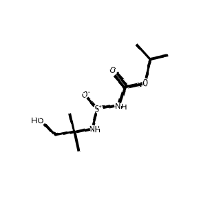 CC(C)OC(=O)N[S+]([O-])NC(C)(C)CO